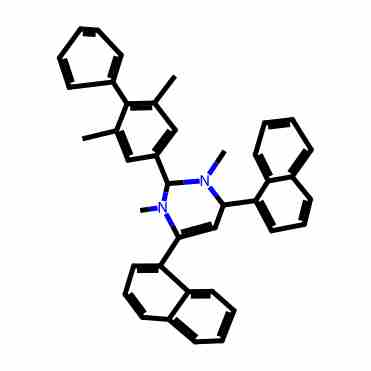 Cc1cc(C2N(C)C(c3cccc4ccccc34)=CC(c3cccc4ccccc34)N2C)cc(C)c1-c1ccccc1